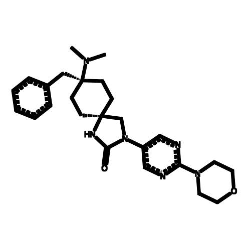 CN(C)[C@]1(Cc2ccccc2)CC[C@]2(CC1)CN(c1cnc(N3CCOCC3)nc1)C(=O)N2